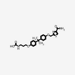 CC(C)(c1ccc(OCCCNC(=O)O)cc1)c1ccc(OCc2nc(C(N)=O)cs2)cc1